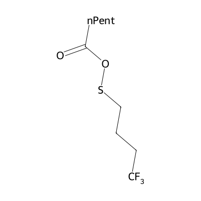 CCCCCC(=O)OSCCCC(F)(F)F